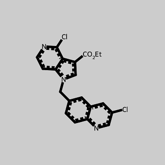 CCOC(=O)c1cn(Cc2ccc3ncc(Cl)cc3c2)c2ccnc(Cl)c12